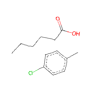 CCCCCC(=O)O.Cc1ccc(Cl)cc1